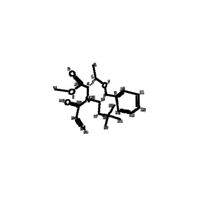 COC(=O)[C@H](C(C)OCc1ccccc1)N(CCC(C)(C)C)C(=O)C#N